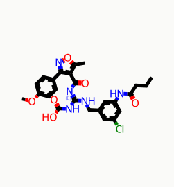 CCCC(=O)Nc1cc(Cl)cc(CN/C(=N\C(=O)c2c(-c3ccc(OC)cc3)noc2C)NC(=O)O)c1